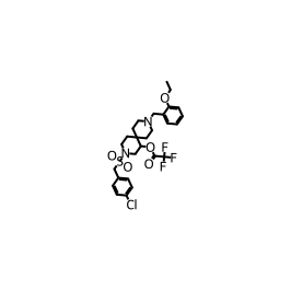 CCOc1ccccc1CN1CCC2(CC1)CCN(S(=O)(=O)Cc1ccc(Cl)cc1)CC2OC(=O)C(F)(F)F